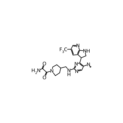 C=Nc1cnc(NCC2CCN(C(=O)C(N)=O)CC2)nc1C1CNc2ncc(C(F)(F)F)cc21